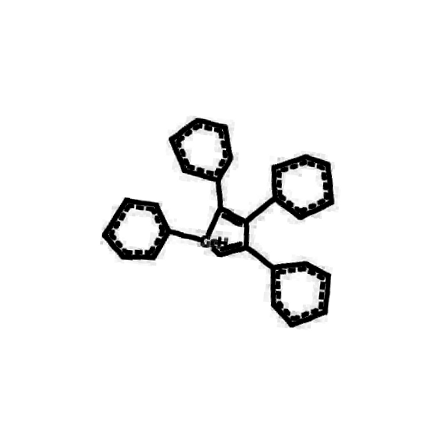 [CH]1=C(c2ccccc2)C(c2ccccc2)=[C](c2ccccc2)[GeH]1[c]1ccccc1